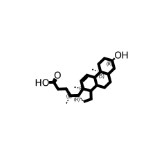 C[C@H](CCC(=O)O)[C@H]1CCC2C3CCC4C[C@H](O)CC[C@]4(C)C3C=C[C@@]21C